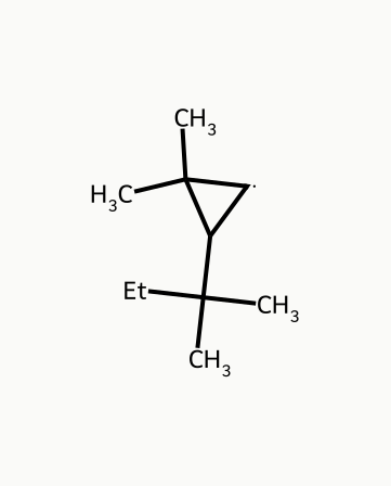 CCC(C)(C)C1[CH]C1(C)C